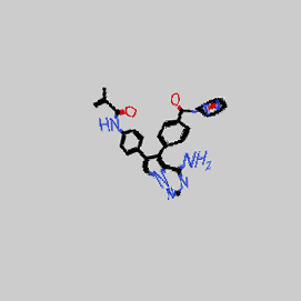 C=C(C)C(=O)Nc1ccc(-c2cn3ncnc(N)c3c2-c2ccc(C(=O)N3CC4CC3C4)cc2)cc1